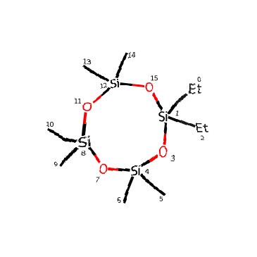 CC[Si]1(CC)O[Si](C)(C)O[Si](C)(C)O[Si](C)(C)O1